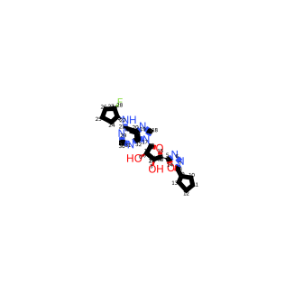 O[C@@H]1[C@H](O)[C@@H](c2nnc(C3CCCC3)o2)O[C@H]1n1cnc2c(N[C@@H]3CCC[C@H]3F)ncnc21